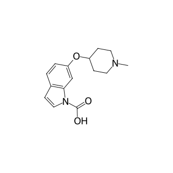 CN1CCC(Oc2ccc3ccn(C(=O)O)c3c2)CC1